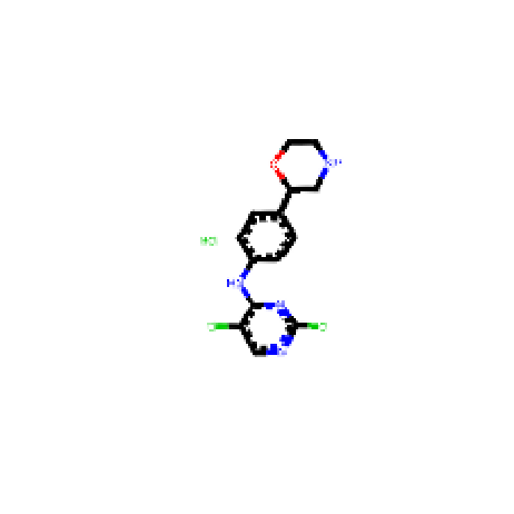 Cl.Clc1ncc(Cl)c(Nc2ccc(C3CNCCO3)cc2)n1